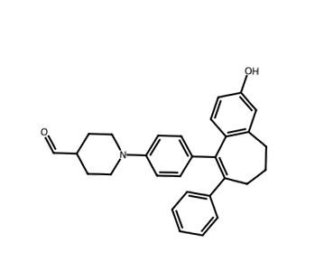 O=CC1CCN(c2ccc(C3=C(c4ccccc4)CCCc4cc(O)ccc43)cc2)CC1